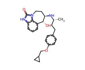 C[C@H](CCc1ccc(OCC2CC2)cc1)N[C@@H]1CCn2c(=O)[nH]c3cccc(c32)[C@H]1O